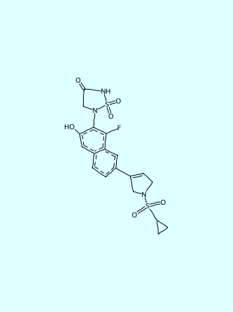 O=C1CN(c2c(O)cc3ccc(C4=CCN(S(=O)(=O)C5CC5)C4)cc3c2F)S(=O)(=O)N1